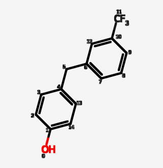 Oc1ccc(Cc2cccc(C(F)(F)F)c2)cc1